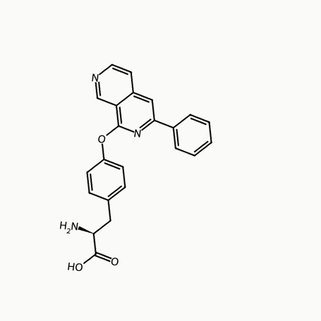 N[C@@H](Cc1ccc(Oc2nc(-c3ccccc3)cc3ccncc23)cc1)C(=O)O